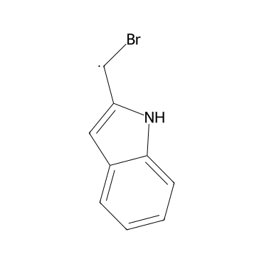 Br[CH]c1cc2ccccc2[nH]1